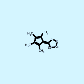 CC1=C(C)C(=C2SS[Se][Se]2)C(C)=C1C